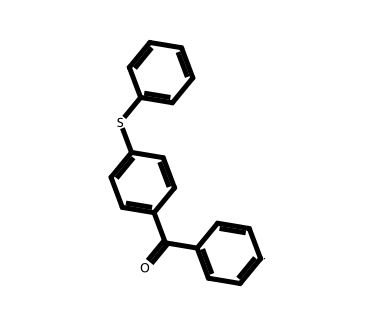 O=C(c1cc[c]cc1)c1ccc(Sc2ccccc2)cc1